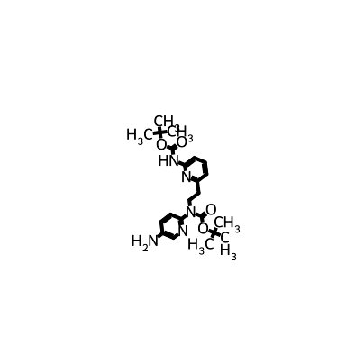 CC(C)(C)OC(=O)Nc1cccc(CCN(C(=O)OC(C)(C)C)c2ccc(N)cn2)n1